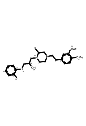 COc1ccc(CCN2[CH]C(C)N(CC(O)COc3ccccc3F)CC2)cc1OC